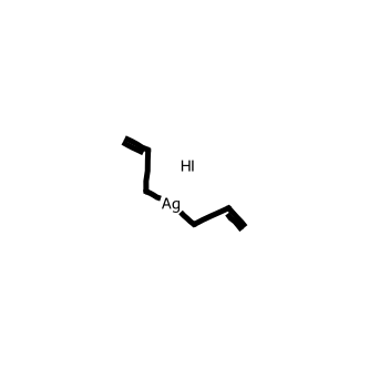 C=C[CH2][Ag][CH2]C=C.I